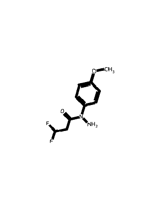 COc1ccc(N(N)C(=O)CC(F)F)cc1